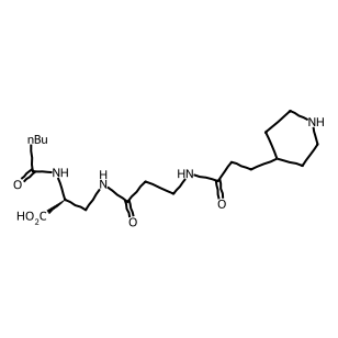 CCCCC(=O)N[C@@H](CNC(=O)CCNC(=O)CCC1CCNCC1)C(=O)O